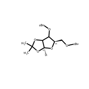 CCCCOC[C@H]1O[C@H]2OC(C)(C)OC2C1OCCCC